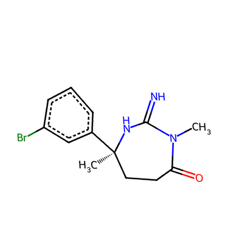 CN1C(=N)N[C@](C)(c2cccc(Br)c2)CCC1=O